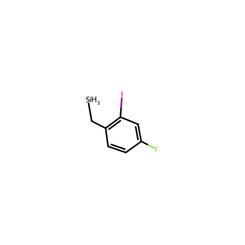 Fc1ccc(C[SiH3])c(I)c1